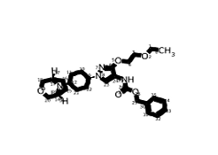 CCOCCOc1nn([C@H]2CC[C@H](N3[C@@H]4CC[C@H]3COC4)CC2)cc1NC(=O)OCc1ccccc1